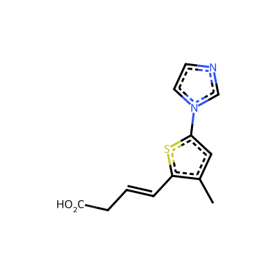 Cc1cc(-n2ccnc2)sc1/C=C/CC(=O)O